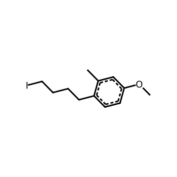 COc1ccc(CCCCI)c(C)c1